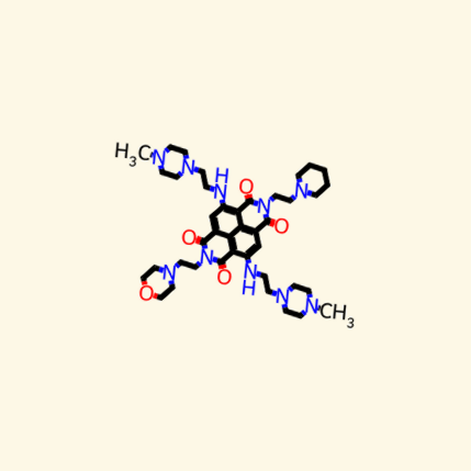 CN1CCN(CCNc2cc3c4c(c(NCCN5CCN(C)CC5)cc5c4c2C(=O)N(CCN2CCCCC2)C5=O)C(=O)N(CCN2CCOCC2)C3=O)CC1